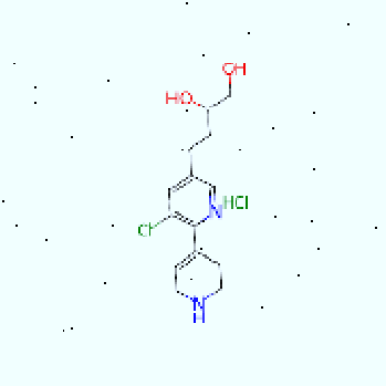 Cl.OCC(O)CCc1cnc(C2=CCNCC2)c(Cl)c1